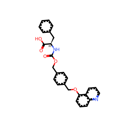 O=C(N[C@H](Cc1ccccc1)C(=O)O)OCc1ccc(COc2cccc3ncccc23)cc1